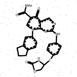 CNC(=O)c1cn(-c2ccc3c(c2)CCC3)c2nc(Nc3ccc(CC4COC(=O)N4)cc3)ncc2c1=O